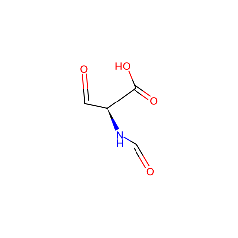 O=CN[C@@H](C=O)C(=O)O